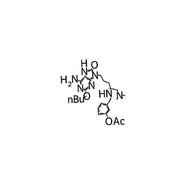 CCCCOc1nc(N)c2[nH]c(=O)n(CCCC(CN(C)C)NCc3cccc(OC(C)=O)c3)c2n1